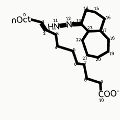 CCCCCCCCC=CCCCCCCCC(=O)[O-].N=[N+]=C1CCCC2CCCCCC12